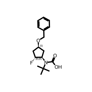 CC(C)(C)N(C(=O)O)[C@@H]1C[C@H](OCc2ccccc2)C[C@H]1F